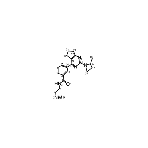 CNCCNC(=O)c1cccc(-c2nc(N3CC[C@@H]3C)nc3c2CCC3)c1